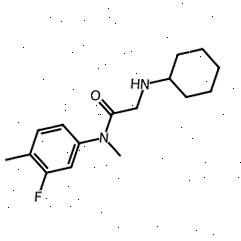 Cc1ccc(N(C)C(=O)CNC2CCCCC2)cc1F